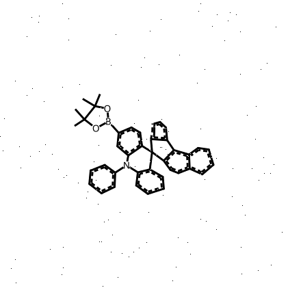 CC1(C)OB(c2ccc3c(c2)N(c2ccccc2)c2ccccc2C32c3ccccc3-c3c2ccc2ccccc32)OC1(C)C